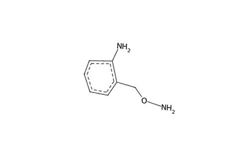 NOCc1ccccc1N